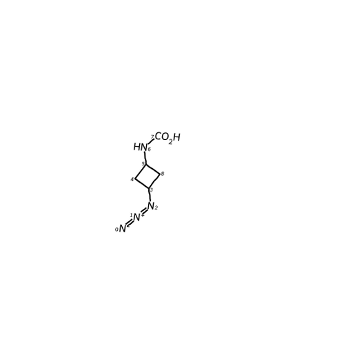 [N-]=[N+]=NC1CC(NC(=O)O)C1